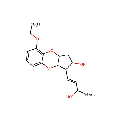 CCCCCC(O)/C=C/C1C(O)CC2Oc3c(OCC(=O)O)cccc3OC21